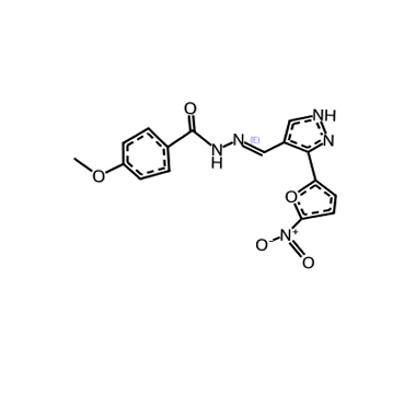 COc1ccc(C(=O)N/N=C/c2c[nH]nc2-c2ccc([N+](=O)[O-])o2)cc1